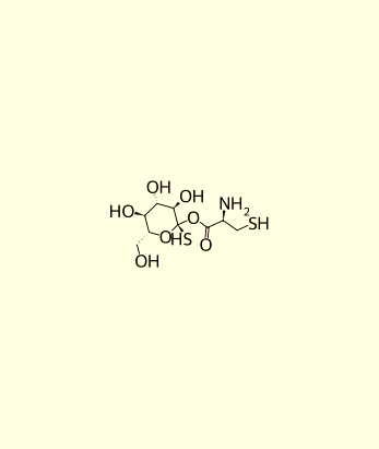 N[C@@H](CS)C(=O)O[C@]1(S)O[C@H](CO)[C@@H](O)[C@H](O)[C@H]1O